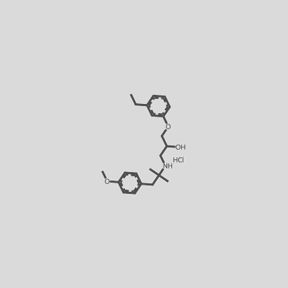 CCc1cccc(OCC(O)CNC(C)(C)Cc2ccc(OC)cc2)c1.Cl